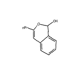 [CH2]CCC1=Cc2ccccc2C(O)O1